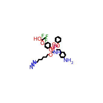 O=C(O)C(F)(F)F.[N-]=[N+]=NCCCCCCOC(=O)NC(Cc1ccc(N)cc1)P(=O)(Oc1ccccc1)Oc1ccccc1